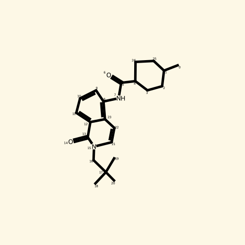 CC1CCC(C(=O)Nc2cccc3c(=O)n(CC(C)(C)C)ccc23)CC1